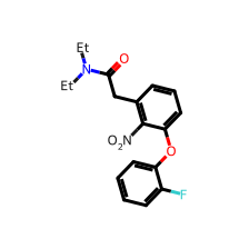 CCN(CC)C(=O)Cc1cccc(Oc2ccccc2F)c1[N+](=O)[O-]